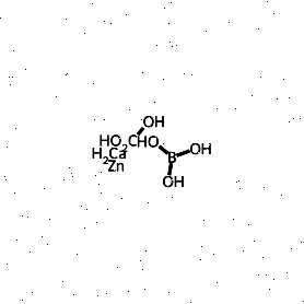 O=C(O)O.OB(O)O.[CaH2].[Zn]